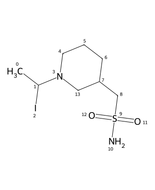 CC(I)N1CCCC(CS(N)(=O)=O)C1